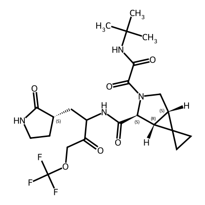 CC(C)(C)NC(=O)C(=O)N1C[C@H]2[C@@H]([C@H]1C(=O)NC(C[C@@H]1CCNC1=O)C(=O)COC(F)(F)F)C21CC1